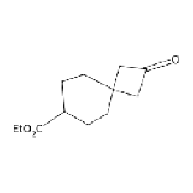 CCOC(=O)C1CCC2(CC1)CC(=O)C2